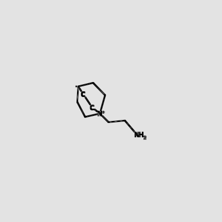 NCC[N+]12CC[C](CC1)CC2